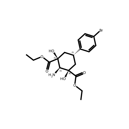 CCOC(=O)[C@]1(O)C[C@H](c2ccc(Br)cc2)C[C@](O)(C(=O)OCC)[C@H]1N